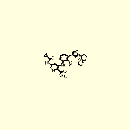 COc1c(Nc2cc(NC(=O)C3CC3)nnc2C(N)=O)cccc1-c1cnn([C@@H]2CCCC23OCCO3)c1